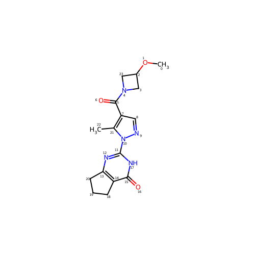 COC1CN(C(=O)c2cnn(-c3nc4c(c(=O)[nH]3)CCC4)c2C)C1